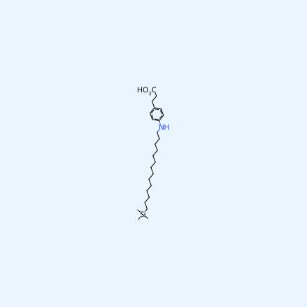 C[Si](C)(C)CCCCCCCCCCCCCCNc1ccc(CCC(=O)O)cc1